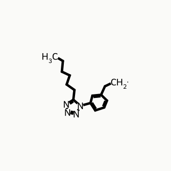 [CH2]Cc1cccc(-n2nnnc2CCCCCC)c1